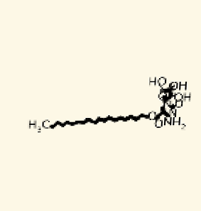 CCCCCCCCCCCCCCCCCCCCOC(=O)c1cn([C@@H]2O[C@H](CO)[C@@H](O)[C@@H]2O)c(=O)nc1N